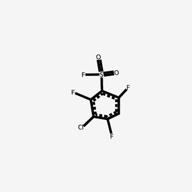 O=S(=O)(F)c1c(F)cc(F)c(Cl)c1F